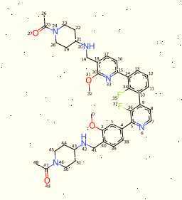 COc1cc(-c2nccc(-c3cccc(-c4ccc(CNC5CCN(C(C)=O)CC5)c(OC)n4)c3F)c2F)ccc1CNC1CCN(C(C)=O)CC1